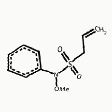 C=CCS(=O)(=O)N(OC)c1ccccc1